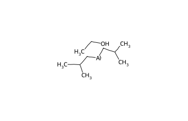 CC(C)[CH2][Al][CH2]C(C)C.CCO